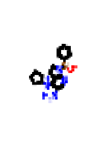 Nc1cnc2c(ccn2[S+]([O-])c2ccccc2)c1NC1CCCC1